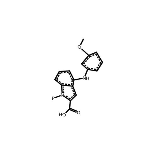 COc1cccc(Nc2cccc3c2cc(C(=O)O)n3F)c1